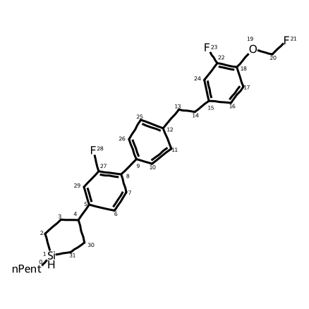 CCCCC[SiH]1CCC(c2ccc(-c3ccc(CCc4ccc(OCF)c(F)c4)cc3)c(F)c2)CC1